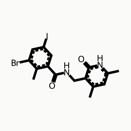 Cc1cc(C)c(CNC(=O)c2cc(I)cc(Br)c2C)c(=O)[nH]1